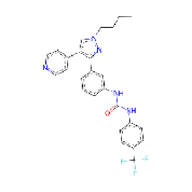 CCCCn1cc(-c2ccncc2)c(-c2cccc(NC(=O)Nc3ccc(C(F)(F)F)cc3)c2)n1